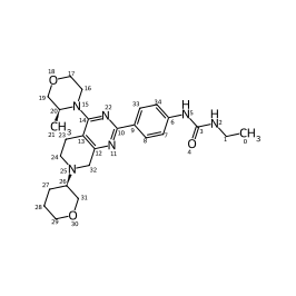 CCNC(=O)Nc1ccc(-c2nc3c(c(N4CCOC[C@@H]4C)n2)CCN([C@@H]2CCCOC2)C3)cc1